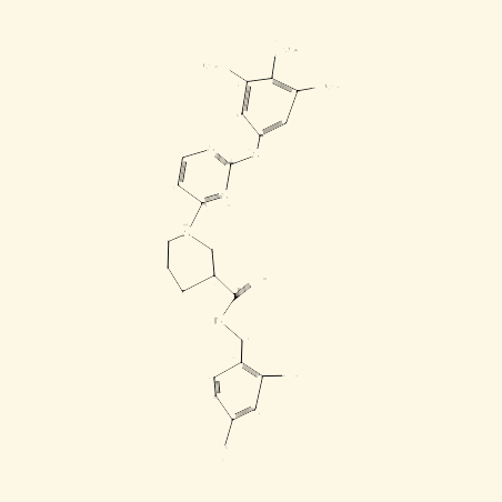 COc1cc(Nc2nccc(N3CCCC(C(=O)NCc4ccc(Cl)cc4F)C3)n2)cc(OC)c1OC